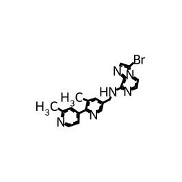 Cc1cc(-c2ncc(CNc3nccn4c(Br)cnc34)cc2C)ccn1